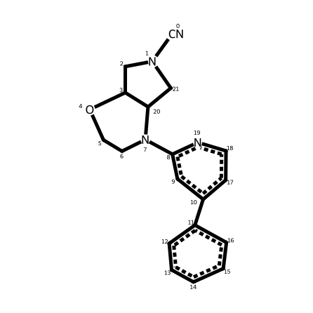 N#CN1CC2OCCN(c3cc(-c4ccccc4)ccn3)C2C1